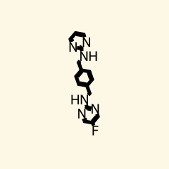 Fc1cnc(NCc2ccc(CNc3ncccn3)cc2)nc1